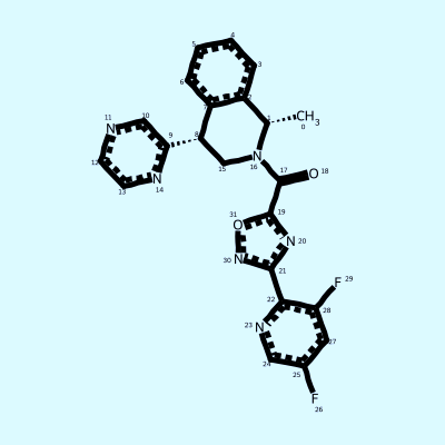 C[C@H]1c2ccccc2[C@@H](c2cnccn2)CN1C(=O)c1nc(-c2ncc(F)cc2F)no1